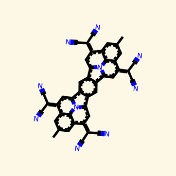 Cc1cc2c(=C(C#N)C#N)cc3c4cc5c(cc4c4cc(=C(C#N)C#N)c(c1)c2n34)c1cc(=C(C#N)C#N)c2cc(C)cc3c(=C(C#N)C#N)cc5n1c32